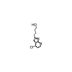 OCCCCn1cc2c(Cl)ccnc2n1